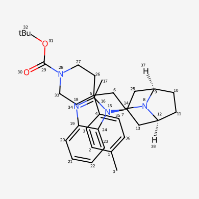 Cc1ccc(C2(CCN3[C@@H]4CC[C@H]3C[C@@H](n3c(C)nc5ccccc53)C4)CCN(C(=O)OC(C)(C)C)CC2)cc1